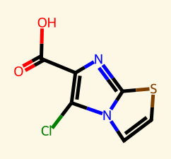 O=C(O)c1nc2sccn2c1Cl